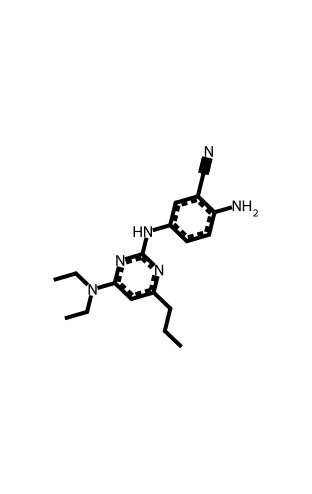 CCCc1cc(N(CC)CC)nc(Nc2ccc(N)c(C#N)c2)n1